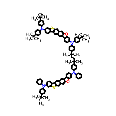 CC(C)(C)c1ccc(N(c2ccc(C(C)(C)CCC(C)(C)c3ccc(N(c4ccccc4)c4ccc5c(c4)oc4cc6cc7sc8cc(N(c9ccccc9)c9ccc(C(C)(C)C)cc9)ccc8c7cc6cc45)cc3)cc2)c2ccc3c(c2)oc2cc4cc5sc6cc(N(c7ccc(C(C)(C)C)cc7)c7ccc(C(C)(C)C)cc7)ccc6c5cc4cc23)cc1